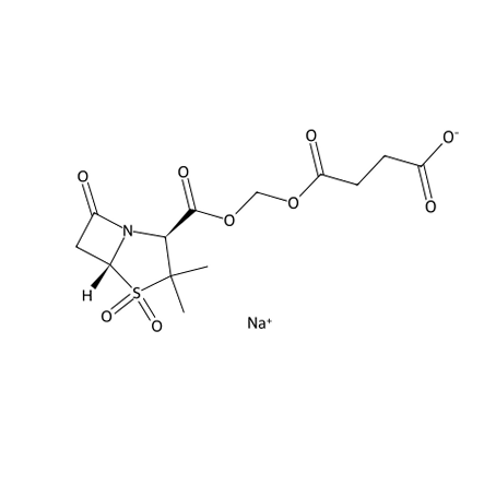 CC1(C)[C@H](C(=O)OCOC(=O)CCC(=O)[O-])N2C(=O)C[C@H]2S1(=O)=O.[Na+]